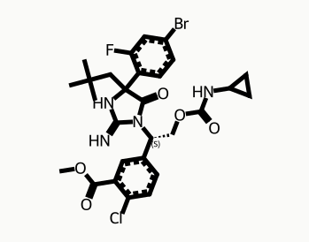 COC(=O)c1cc([C@@H](COC(=O)NC2CC2)N2C(=N)NC(CC(C)(C)C)(c3ccc(Br)cc3F)C2=O)ccc1Cl